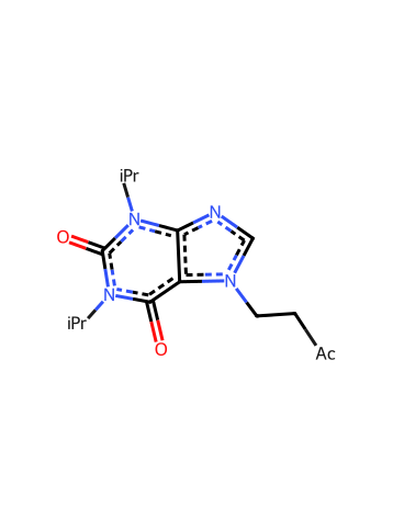 CC(=O)CCn1cnc2c1c(=O)n(C(C)C)c(=O)n2C(C)C